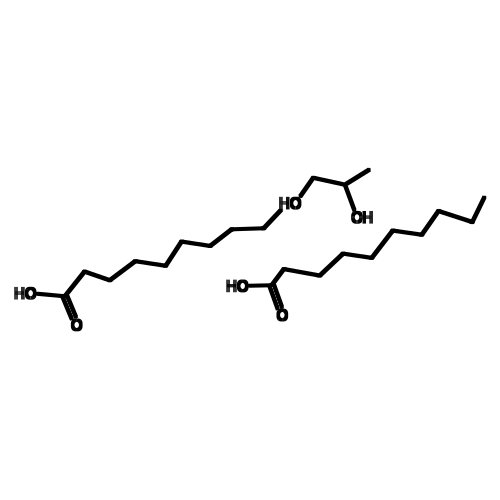 CC(O)CO.CCCCCCCCCC(=O)O.CCCCCCCCCC(=O)O